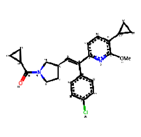 COc1nc(/C(=C/[C@H]2CCN(C(=O)C3CC3)C2)c2ccc(Cl)cc2)ccc1C1CC1